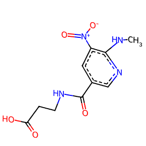 CNc1ncc(C(=O)NCCC(=O)O)cc1[N+](=O)[O-]